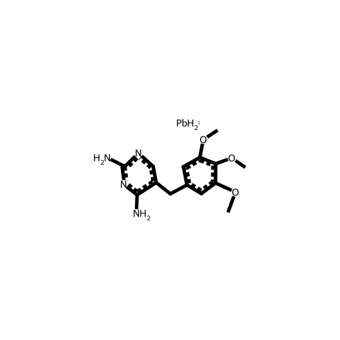 COc1cc(Cc2cnc(N)nc2N)cc(OC)c1OC.[PbH2]